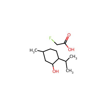 CC1CCC(C(C)C)C(O)C1.O=C(O)CF